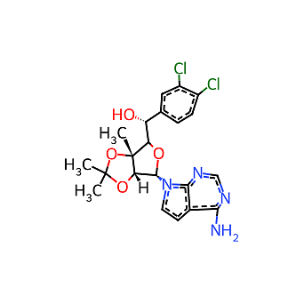 CC1(C)O[C@H]2[C@H](n3ccc4c(N)ncnc43)OC([C@H](O)c3ccc(Cl)c(Cl)c3)[C@@]2(C)O1